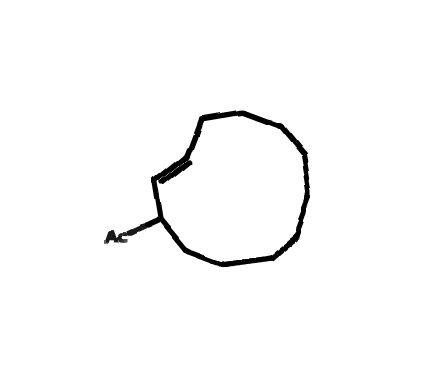 CC(=O)C1/C=C/CCCCCCCCC1